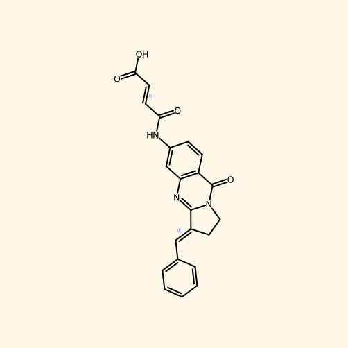 O=C(O)/C=C/C(=O)Nc1ccc2c(=O)n3c(nc2c1)/C(=C/c1ccccc1)CC3